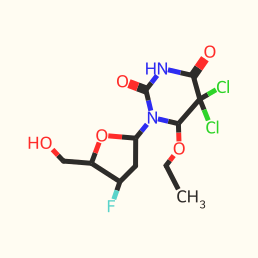 CCOC1N(C2CC(F)C(CO)O2)C(=O)NC(=O)C1(Cl)Cl